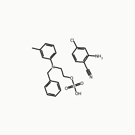 Cc1cccc(N(CCOS(=O)(=O)O)Cc2ccccc2)c1.N#Cc1ccc(Cl)cc1N